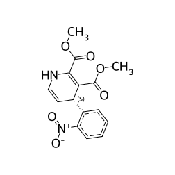 COC(=O)C1=C(C(=O)OC)[C@H](c2ccccc2[N+](=O)[O-])C=CN1